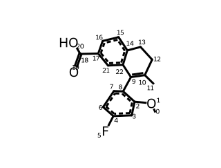 COc1cc(F)ccc1C1=C(C)CCc2ccc(C(=O)O)cc21